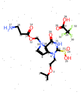 CC(C)OCCN1c2ccn(COC(=O)CCN)c2C(=O)NC1S(=O)O.O=C(O)C(F)(F)F